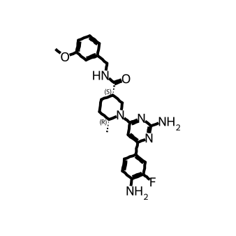 COc1cccc(CNC(=O)[C@H]2CC[C@@H](C)N(c3cc(-c4ccc(N)c(F)c4)nc(N)n3)C2)c1